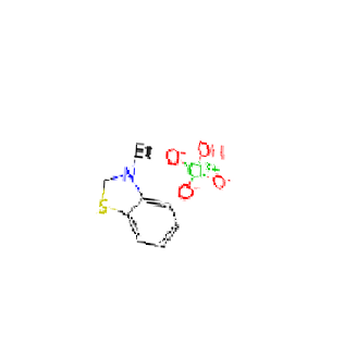 CCN1CSc2ccccc21.[O-][Cl+3]([O-])([O-])O